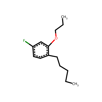 CCCCCc1ccc(F)cc1OCCC